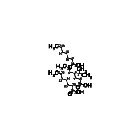 CCC.CCCCCCC(=O)O.CCCCCCC(=O)O.CCCCCCC(=O)O